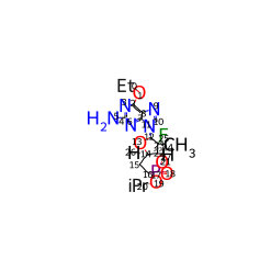 CCOc1nc(N)nc2c1ncn2[C@@H]1O[C@@H]2CC[P@@](=O)(OC(C)C)O[C@H]2[C@@]1(C)F